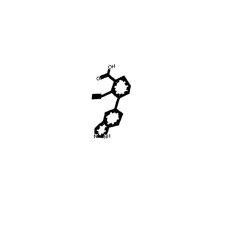 C#Cc1c(C(=O)O)cccc1-c1ccc2[nH]ncc2c1